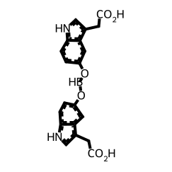 O=C(O)Cc1c[nH]c2ccc(OBOc3ccc4[nH]cc(CC(=O)O)c4c3)cc12